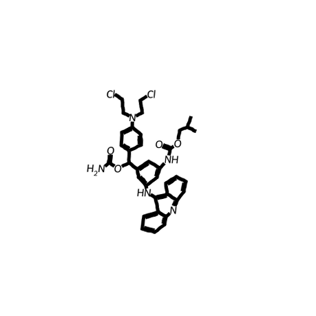 CC(C)COC(=O)Nc1cc(Nc2c3ccccc3nc3ccccc23)cc(C(OC(N)=O)c2ccc(N(CCCl)CCCl)cc2)c1